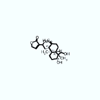 C=C1CC[C@@H]2[C@](C)(CO)[C@H](O)CC[C@@]2(C)[C@@H]1CC(OC)C1=CCOC1=O